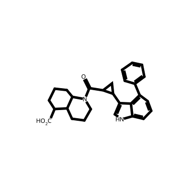 O=C(O)C1CCCC2C1CCCN2C(=O)C1CC1c1c[nH]c2cccc(-c3ccccc3)c12